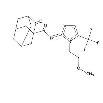 COCCn1c(C(F)(F)F)cs/c1=N\C(=O)C12CC3CC(CC(C3)C1=O)C2